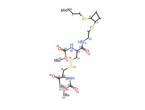 CNCCSC1CCC1SCCNC(=O)C(CSSCC(NC(=O)OC(C)(C)C)C(=O)C(C)(C)C)NC(=O)OC(C)(C)C